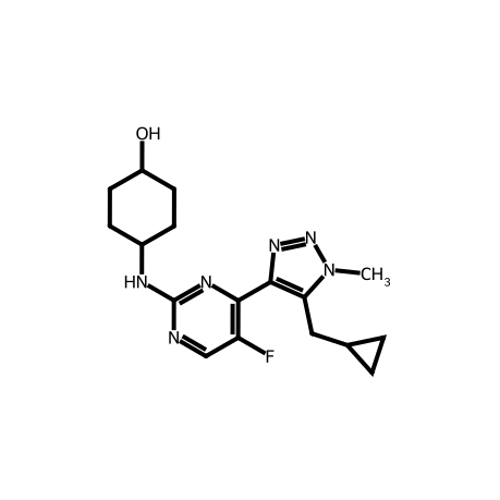 Cn1nnc(-c2nc(NC3CCC(O)CC3)ncc2F)c1CC1CC1